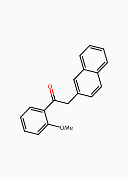 COc1ccccc1C(=O)Cc1ccc2ccccc2c1